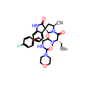 CN(C(=O)[C@H](Cc1ccc(F)cc1)NC(=O)N1CCOCC1)[C@@H](CC(C)(C)C)C(=O)N1C[C@]2(C[C@H]1C#N)C(=O)Nc1ccccc12